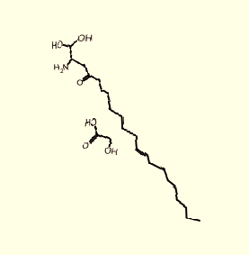 CCCCCCCCC=CCCCCCCCC(=O)CC(N)C(O)O.O=C(O)CO